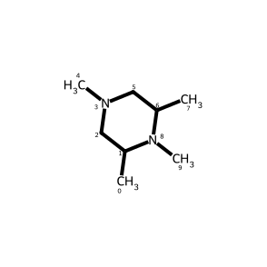 CC1CN(C)CC(C)N1C